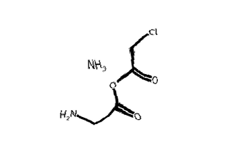 N.NCC(=O)OC(=O)CCl